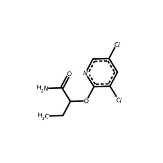 CCC(Oc1ncc(Cl)cc1Cl)C(N)=O